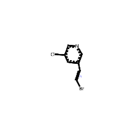 Clc1[c]ncc(/C=C/Br)c1